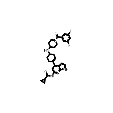 O=C(Nc1cc(C2=CCC(NC3CCN(C(=O)c4cc(F)cc(F)c4)CC3)CC2)c2cc[nH]c2n1)C1CC1